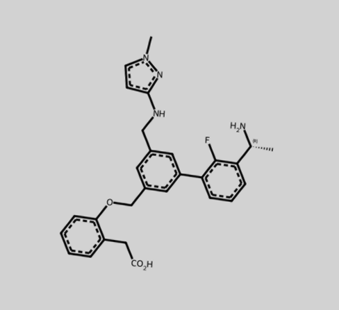 C[C@@H](N)c1cccc(-c2cc(CNc3ccn(C)n3)cc(COc3ccccc3CC(=O)O)c2)c1F